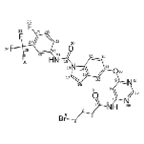 O=C(CCCBr)Nc1cc(Oc2ccc3c(ccn3C(=O)Nc3ccc(F)c(C(F)(F)F)c3)c2)ncn1